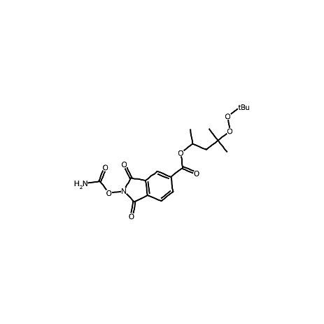 CC(CC(C)(C)OOC(C)(C)C)OC(=O)c1ccc2c(c1)C(=O)N(OC(N)=O)C2=O